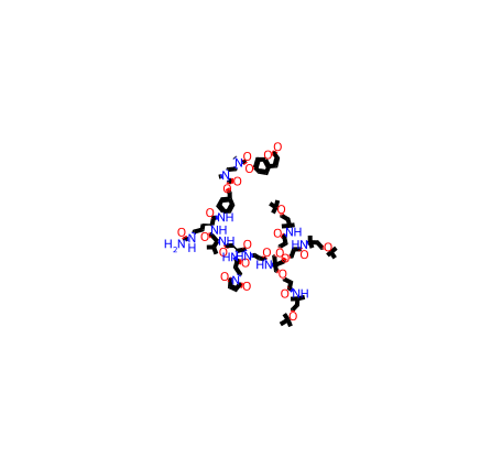 CC(C)C(NC(=O)C[C@H](NC(=O)CCN1C(=O)C=CC1=O)C(=O)NCCC(=O)NC(COCCC(=O)NC(C)(C)CCOC(C)(C)C)(COCCC(=O)NC(C)(C)CCOC(C)(C)C)COCCC(=O)NC(C)(C)CCOC(C)(C)C)C(=O)N[C@@H](CCCNC(N)=O)C(=O)Nc1ccc(COC(=O)N(C)CCN(C)C(=O)Oc2ccc3ccc(=O)oc3c2)cc1